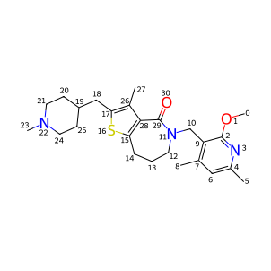 COc1nc(C)cc(C)c1CN1CCCc2sc(CC3CCN(C)CC3)c(C)c2C1=O